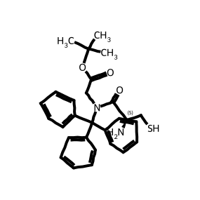 CC(C)(C)OC(=O)CN(C(=O)[C@H](N)CS)C(c1ccccc1)(c1ccccc1)c1ccccc1